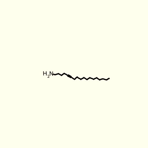 CCCCCCCCCCCCC#CCCCCN